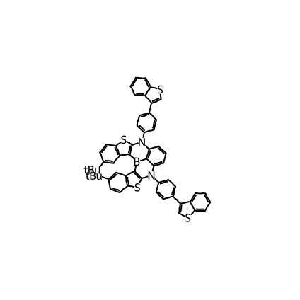 CC(C)(C)c1ccc2sc3c(c2c1)B1c2c(cccc2N(c2ccc(-c4csc5ccccc45)cc2)c2sc4ccc(C(C)(C)C)cc4c21)N3c1ccc(-c2csc3ccccc23)cc1